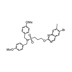 COc1ccc(CN(Cc2ccc(OC)cc2)S(=O)(=O)CCCOc2ncc3cc(Br)c(I)cc3n2)cc1